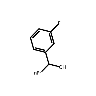 CCCC(O)c1cccc(F)c1